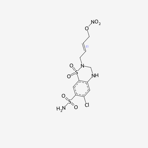 NS(=O)(=O)c1cc2c(cc1Cl)NCN(C/C=C/CO[N+](=O)[O-])S2(=O)=O